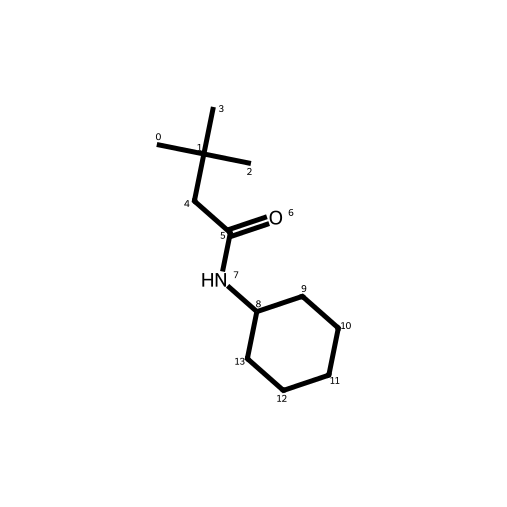 CC(C)(C)CC(=O)NC1CCCCC1